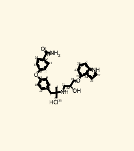 CC(C)(Cc1ccc(Oc2ccc(C(N)=O)cc2)cc1)NC[C@H](O)COc1cccc2[nH]ccc12.Cl